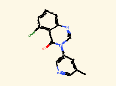 Cc1cncc(-n2[c]nc3cccc(Cl)c3c2=O)c1